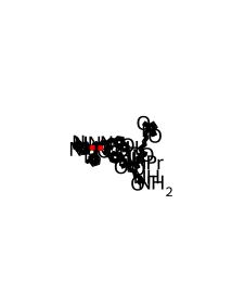 Cc1cccc(-c2nc(CN(Cc3ccc4c(c3)OCO4)C(=O)OCc3ccc(NC(=O)C(CCCNC(N)=O)NC(=O)[C@@H](NC(=O)CCCCCN4C(=O)C=CC4=O)C(C)C)cc3)[nH]c2-c2ccc3ncnn3c2)n1